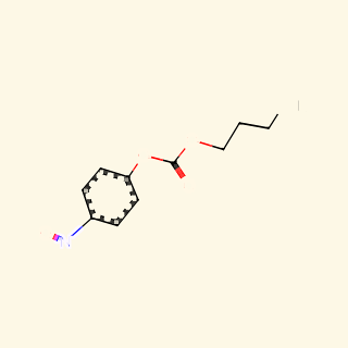 CCCCOC(=O)Oc1ccc(N=O)cc1